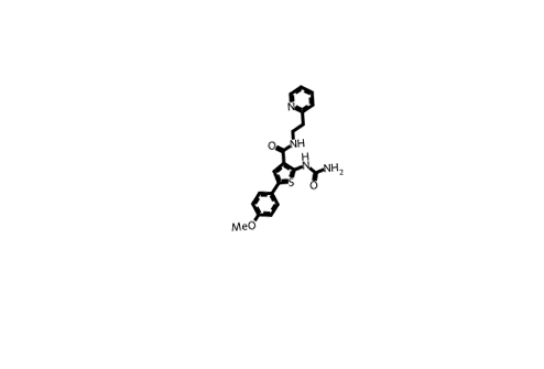 COc1ccc(-c2cc(C(=O)NCCc3ccccn3)c(NC(N)=O)s2)cc1